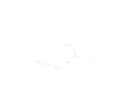 CCOC(C(=O)O)C(C)(C)C=C=C=O